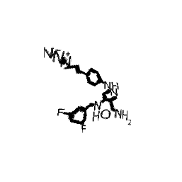 [N-]=[N+]=NCCCc1ccc(Nc2cc(NCc3cc(F)cc(F)c3)c(C(N)=O)cn2)cc1